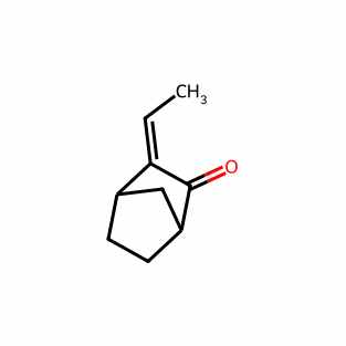 CC=C1C(=O)C2CCC1C2